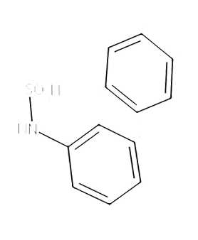 O=S(=O)(O)Nc1ccccc1.c1ccccc1